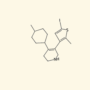 Cc1sc(I)cc1C1=C(C2CCC(C)CC2)CCNC1